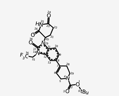 CC(C)(C)OC(=O)N1CC=C(c2ccc3c(c2)n(CC(F)(F)F)c(=O)n3C2CCC(=O)NC2=O)CC1